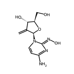 C=C1[C@H](n2ccc(N)n/c2=N\O)O[C@H](CO)[C@H]1O